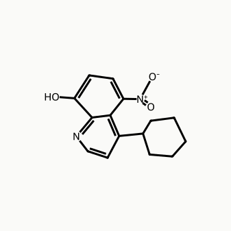 O=[N+]([O-])c1ccc(O)c2nccc(C3CCCCC3)c12